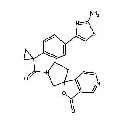 Nc1nc(-c2ccc(C3(C(=O)N4CCC5(C4)OC(=O)c4cnccc45)CC3)cc2)cs1